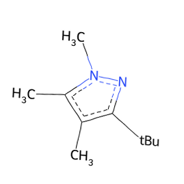 Cc1c(C(C)(C)C)nn(C)c1C